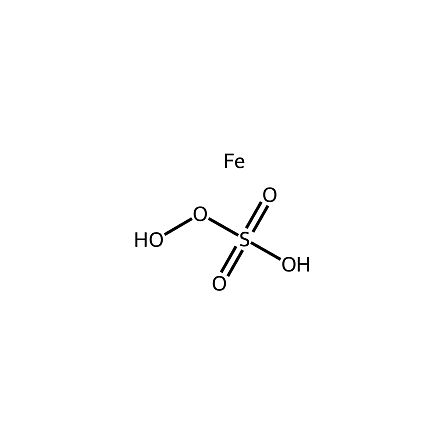 O=S(=O)(O)OO.[Fe]